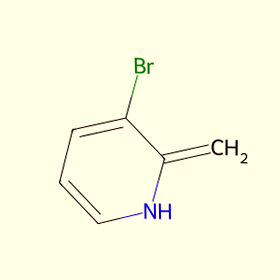 C=C1NC=CC=C1Br